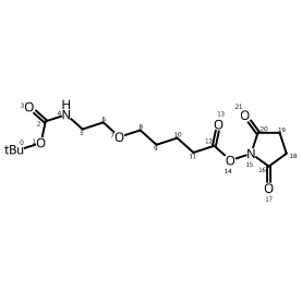 CC(C)(C)OC(=O)NCCOCCCCC(=O)ON1C(=O)CCC1=O